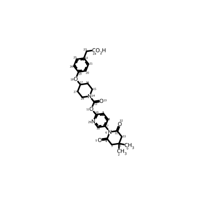 CC1(C)CC(=O)N(c2ccc(OC(=O)N3CCC(Oc4ccc(CC(=O)O)cc4)CC3)nc2)C(=O)C1